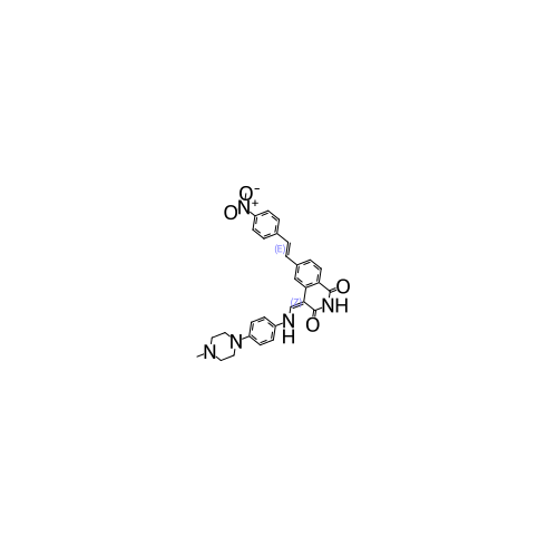 CN1CCN(c2ccc(N/C=C3\C(=O)NC(=O)c4ccc(/C=C/c5ccc([N+](=O)[O-])cc5)cc43)cc2)CC1